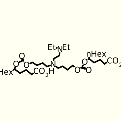 CCCCCCC(CCCC(=O)O)OC(=O)OCCCCN(CCCCOC(=O)OC(CCCCCC)CCCC(=O)O)CCN(CC)CC